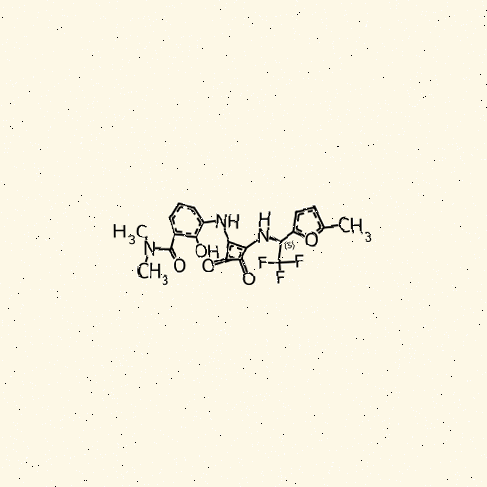 Cc1ccc([C@H](Nc2c(Nc3cccc(C(=O)N(C)C)c3O)c(=O)c2=O)C(F)(F)F)o1